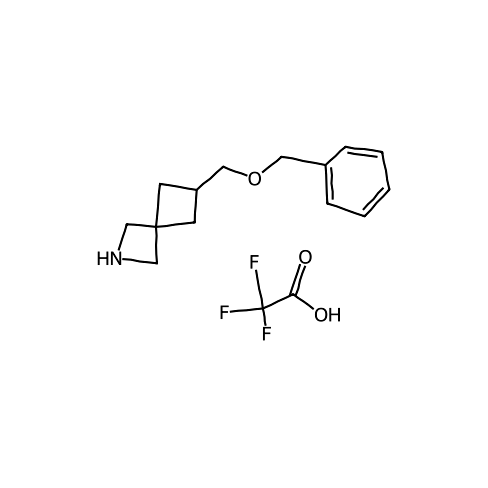 O=C(O)C(F)(F)F.c1ccc(COCC2CC3(CNC3)C2)cc1